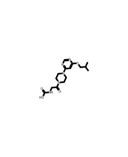 CC(C)COc1cc(N2CCN(C(=O)CNC(=O)O)CC2)ncn1